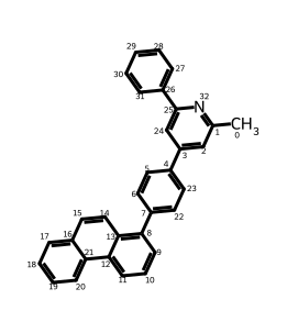 Cc1cc(-c2ccc(-c3cccc4c3ccc3ccccc34)cc2)cc(-c2ccccc2)n1